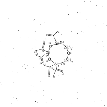 C=C(C)[SiH]1O[SiH2]O[SiH2]O[Si](C(=C)C)(C(=C)C)O[Si](C(=C)C)(C(=C)C)O1